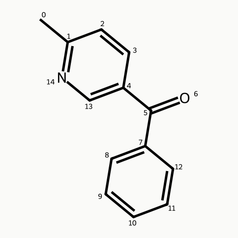 Cc1ccc(C(=O)c2ccccc2)cn1